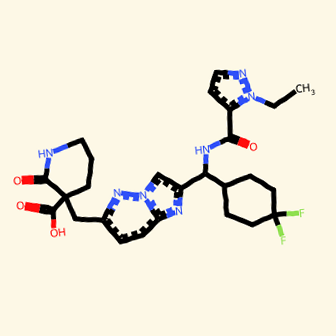 CCn1nccc1C(=O)NC(c1cn2nc(CC3(C(=O)O)CCCNC3=O)ccc2n1)C1CCC(F)(F)CC1